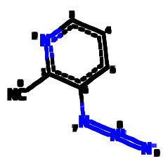 N#Cc1ncccc1N=[N+]=[N-]